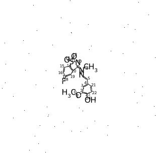 COc1cc(/C=N/N(C)C2=NS(=O)(=O)c3ccc(F)cc32)ccc1O